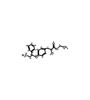 CCOC(=O)C(Cl)Cc1ccc(OC(CC)c2ccccc2)cc1